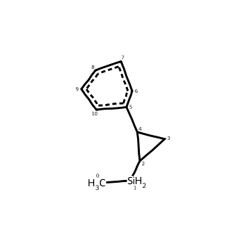 C[SiH2]C1CC1c1ccccc1